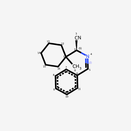 CC1([C@@H](C#N)/N=C\c2ccccc2)CCCCC1